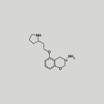 N[C@@H]1COc2cccc(OCCC3CCCN3)c2C1